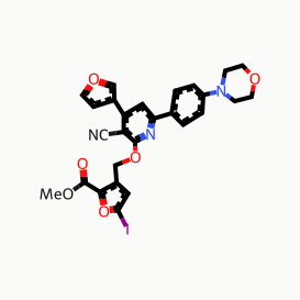 COC(=O)c1oc(I)cc1COc1nc(-c2ccc(N3CCOCC3)cc2)cc(-c2ccoc2)c1C#N